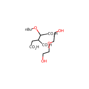 CCCCOC(C(=O)O)C(CC(=O)O)C(=O)O.OCCOCCO